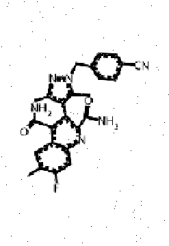 Cc1cc2c(C(N)=O)c(-c3c(C)nn(Cc4ccc(C#N)cc4)c3C)c(C(N)=O)nc2cc1F